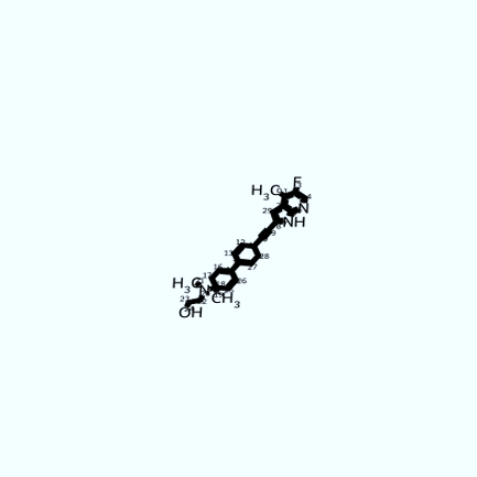 Cc1c(F)cnc2[nH]c(C#CC3C=CC(C4=CCC(C)(N(C)CCO)C=C4)=CC3)cc12